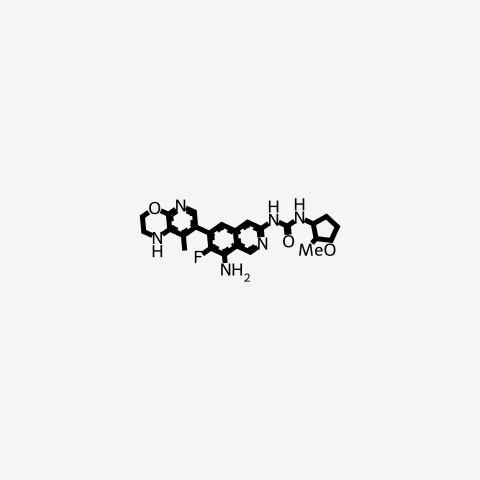 COC1CCCC1NC(=O)Nc1cc2cc(-c3cnc4c(c3C)NCCO4)c(F)c(N)c2cn1